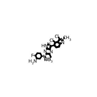 CN(c1nc2[nH]nc(-c3ccc4nn(C)c(Cl)c4c3Cl)c2nc1CO)[C@@H]1CC[C@@H](F)[C@@H](N)C1